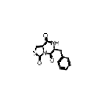 O=C1NC(Cc2ccccc2)C(=O)N2C(=O)SCC12